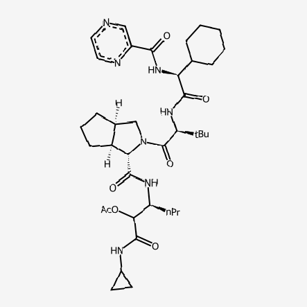 CCC[C@H](NC(=O)[C@@H]1[C@H]2CCC[C@H]2CN1C(=O)[C@@H](NC(=O)[C@@H](NC(=O)c1cnccn1)C1CCCCC1)C(C)(C)C)C(OC(C)=O)C(=O)NC1CC1